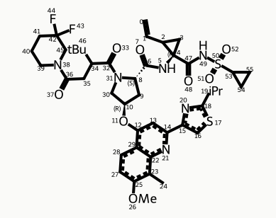 C=CC1C[C@]1(NC(=O)[C@@H]1C[C@@H](Oc2cc(-c3csc(C(C)C)n3)nc3c(C)c(OC)ccc23)CN1C(=O)C(CC(=O)N1CCCC(F)(F)C1)C(C)(C)C)C(=O)NS(=O)(=O)C1CC1